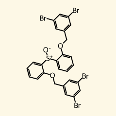 [O-][S+](c1ccccc1OCc1cc(Br)cc(Br)c1)c1ccccc1OCc1cc(Br)cc(Br)c1